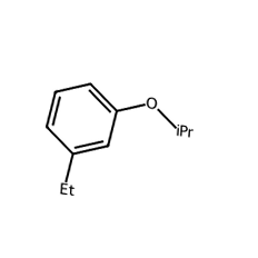 CCc1cccc(OC(C)C)c1